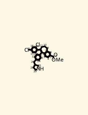 COC(=O)c1ccc2c(c1)CCCC(c1ccc(Cl)cc1Cl)=C2c1ccc(CC2CCNC2)cc1